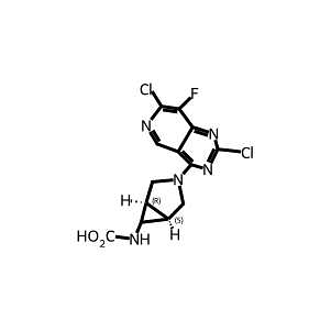 O=C(O)NC1[C@H]2CN(c3nc(Cl)nc4c(F)c(Cl)ncc34)C[C@@H]12